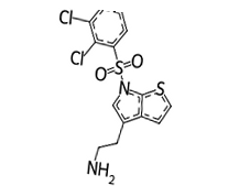 NCCc1cn(S(=O)(=O)c2cccc(Cl)c2Cl)c2sccc12